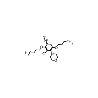 CCCCOC1=C(N2CCOCC2)C(Cl)=C(OCCCC)C(=[N+]=[N-])C1